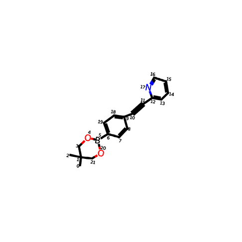 CC1(C)COB(c2ccc(C#Cc3ccccn3)cc2)OC1